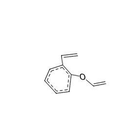 C=COc1ccccc1C=C